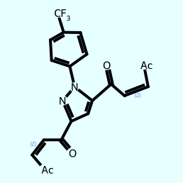 CC(=O)/C=C\C(=O)c1cc(C(=O)/C=C\C(C)=O)n(-c2ccc(C(F)(F)F)cc2)n1